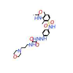 [CH2]C(=O)Nc1c(C)ccc(S(=O)(=O)Nc2ccc(NNC(=O)C(=O)NCCCN3CCOCC3)cc2)c1C